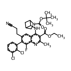 CCOC(=O)c1c(C)nc2c(F)c(-c3cccc(Cl)c3Cl)c(CCC#N)cc2c1NC1C2CC1N(C(=O)OC(C)(C)C)C2